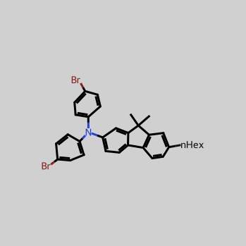 CCCCCCc1ccc2c(c1)C(C)(C)c1cc(N(c3ccc(Br)cc3)c3ccc(Br)cc3)ccc1-2